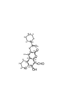 Cc1c(CC(=O)N2CCSCC2)c(=O)oc2c(C=O)c(O)c3c(c12)CCCO3